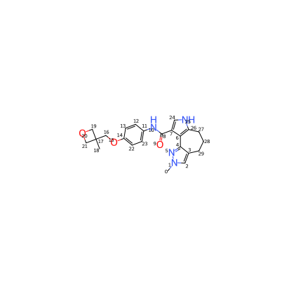 Cn1cc2c(n1)-c1c(C(=O)Nc3ccc(OCC4(C)COC4)cc3)c[nH]c1CCC2